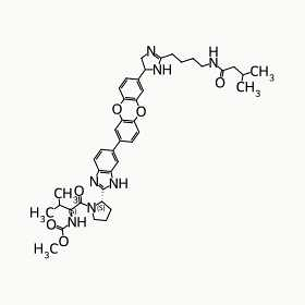 COC(=O)N[C@H](C(=O)N1CCC[C@H]1c1nc2ccc(-c3ccc4c(c3)Oc3ccc(C5CN=C(CCCCNC(=O)CC(C)C)N5)cc3O4)cc2[nH]1)C(C)C